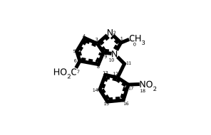 Cc1nc2ccc(C(=O)O)cc2n1Cc1ccccc1[N+](=O)[O-]